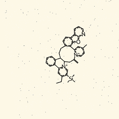 C=C1CC2C(CCc3ccc4c(oc5ncccc54)c3-c3cc(C)cc[n+]31)c1ccccc1-c1cc(CC)c([Si](C)(C)C)c[n+]12